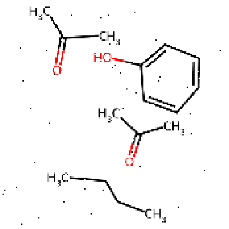 CC(C)=O.CC(C)=O.CCCC.Oc1ccccc1